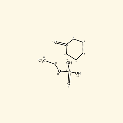 O=C1CCCCC1.O=P(O)(O)OCC(Cl)(Cl)Cl